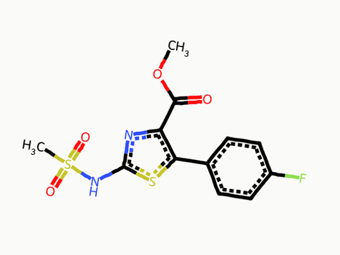 COC(=O)c1nc(NS(C)(=O)=O)sc1-c1ccc(F)cc1